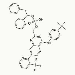 CC(C)(C)c1ccc(Nc2nc(COP(=O)(O)OC(Cc3ccccc3)c3ccccc3)nc3cc(-c4ncccc4C(F)(F)F)ccc23)cc1